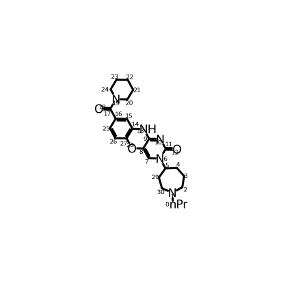 CCCN1CCCC(n2cc3c(nc2=O)Nc2cc(C(=O)N4CCCCC4)ccc2O3)CC1